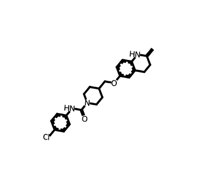 C=C1CCc2cc(OCC3CCN(C(=O)Nc4ccc(Cl)cc4)CC3)ccc2N1